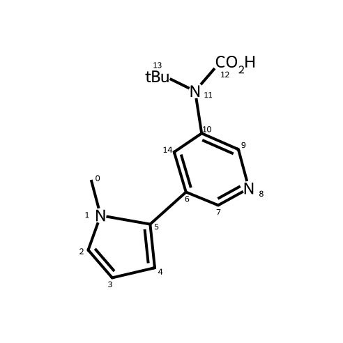 Cn1cccc1-c1cncc(N(C(=O)O)C(C)(C)C)c1